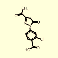 CC(=O)C1=NN(c2ccc(C(=O)O)c(Cl)c2)C(=O)C1